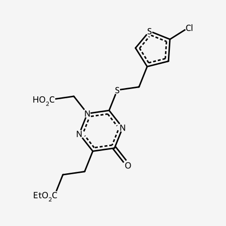 CCOC(=O)CCc1nn(CC(=O)O)c(SCc2csc(Cl)c2)nc1=O